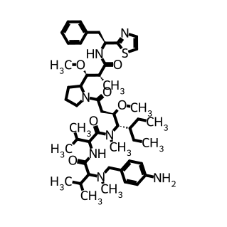 CCC(CC)[C@@H]([C@@H](CC(=O)N1CCCC1[C@H](OC)[C@@H](C)C(=O)N[C@@H](Cc1ccccc1)c1nccs1)OC)N(C)C(=O)C(NC(=O)C(C(C)C)N(C)Cc1ccc(N)cc1)C(C)C